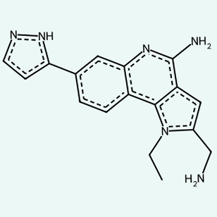 CCn1c(CN)cc2c(N)nc3cc(-c4ccn[nH]4)ccc3c21